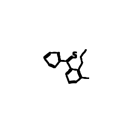 CCCc1c(C)cccc1C(=S)c1ccccc1